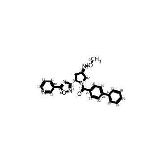 CON=C1C[C@@H](c2noc(-c3cccnc3)n2)N(C(=O)c2ccc(-c3ccccc3)cc2)C1